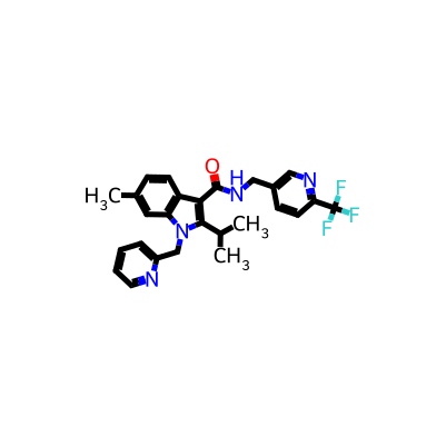 Cc1ccc2c(C(=O)NCc3ccc(C(F)(F)F)nc3)c(C(C)C)n(Cc3ccccn3)c2c1